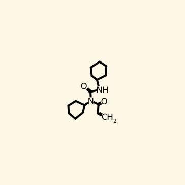 C=CC(=O)N(C(=O)NC1CCCCC1)C1CCCCC1